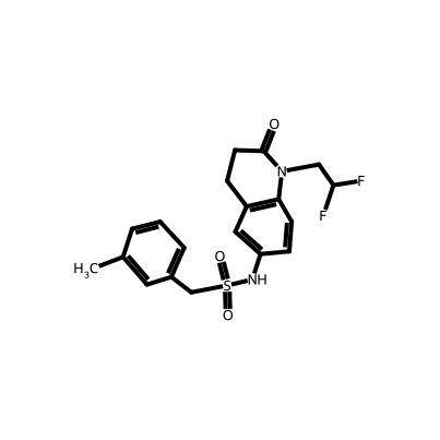 Cc1cccc(CS(=O)(=O)Nc2ccc3c(c2)CCC(=O)N3CC(F)F)c1